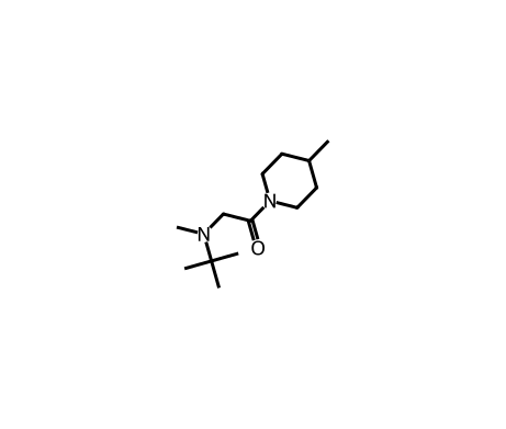 CC1CCN(C(=O)CN(C)C(C)(C)C)CC1